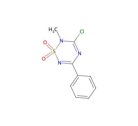 CN1C(Cl)=NC(c2ccccc2)=NS1(=O)=O